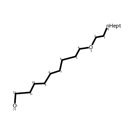 CCCCCCCCCOCCCCCCCCC[O]